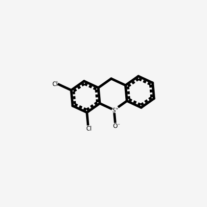 [O-][S+]1c2ccccc2Cc2cc(Cl)cc(Cl)c21